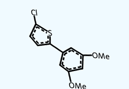 COc1cc(OC)cc(-c2ccc(Cl)s2)c1